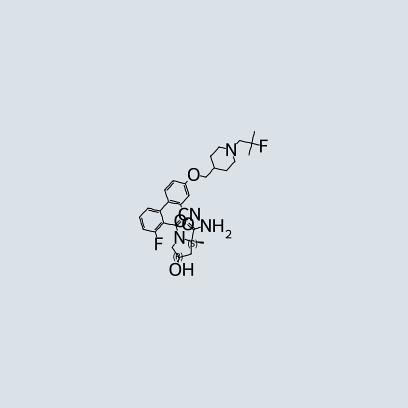 CC(C)(F)CN1CCC(COc2ccc(-c3cccc(F)c3C(=O)N3C[C@H](O)C[C@@]3(C)C(N)=O)c(C#N)c2)CC1